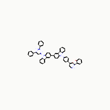 c1ccc(-c2cc(-n3c4ccccc4c4cc(-c5ccc6c(c5)c5ccccc5n6-c5ccc(-c6ccnc7c6oc6ccccc67)cc5)ccc43)nc(-c3ccccc3)n2)cc1